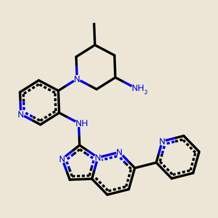 CC1CC(N)CN(c2ccncc2Nc2ncc3ccc(-c4ccccn4)nn23)C1